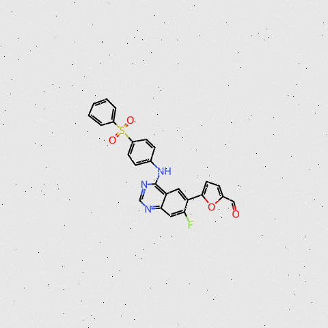 O=Cc1ccc(-c2cc3c(Nc4ccc(S(=O)(=O)c5ccccc5)cc4)ncnc3cc2F)o1